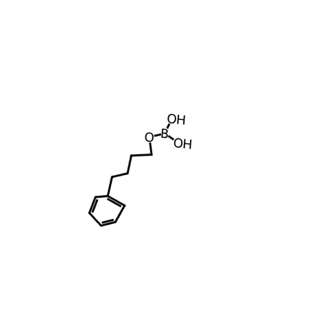 OB(O)OCCCCc1ccccc1